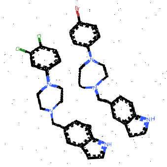 Brc1ccc(N2CCN(Cc3ccc4[nH]ccc4c3)CC2)cc1.Clc1ccc(N2CCN(Cc3ccc4[nH]ccc4c3)CC2)cc1Cl